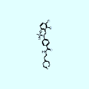 CS(=O)(=O)N(Cc1cccc(Cl)c1Cl)c1ccc(C(=O)NCCC2CCOCC2)cc1